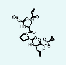 C=CC[C@@H](NC(=O)[C@@H]1CCCN1C(=O)[C@H](CNC(=O)C=C)NC(=O)OC(C)(C)C)C(=O)NS(=O)(=O)C1CC1